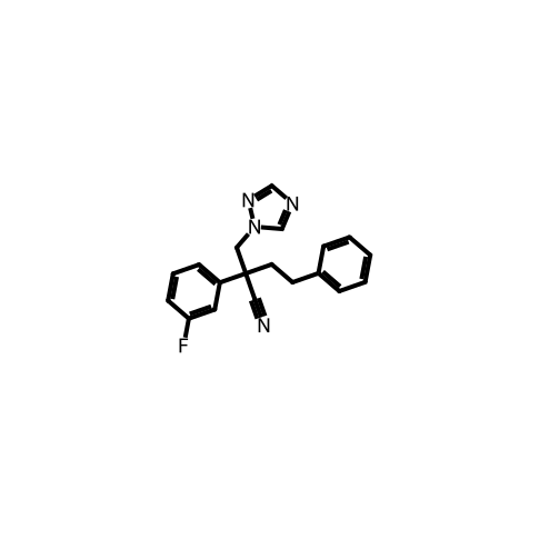 N#CC(CCc1ccccc1)(Cn1cncn1)c1cccc(F)c1